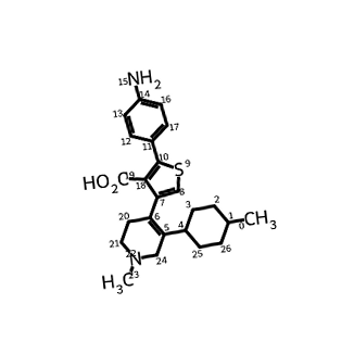 CC1CCC(C2=C(c3csc(-c4ccc(N)cc4)c3C(=O)O)CCN(C)C2)CC1